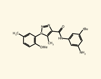 COc1ccc(C)cc1-n1nnc(C(=O)Nc2cc(N)cc(C(C)(C)C)c2)c1C